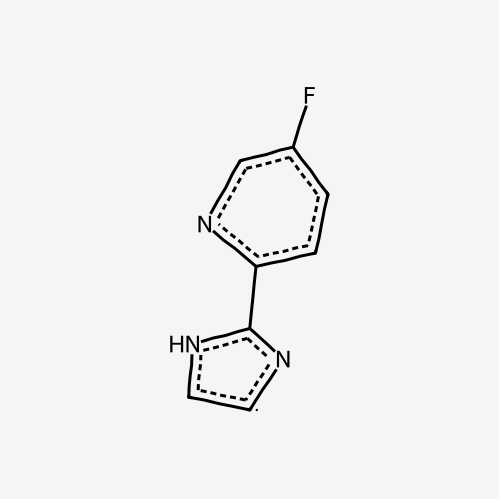 Fc1ccc(-c2n[c]c[nH]2)nc1